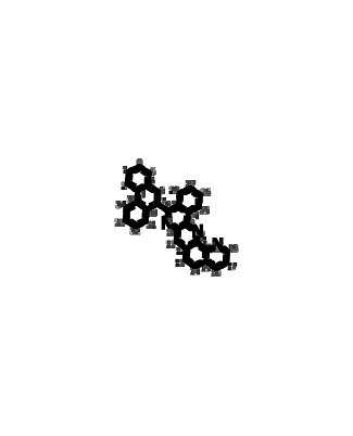 c1ccc2c(c1)cc(-c1nc3cc4ccc5cccnc5c4nc3c3ccccc13)c1ccccc12